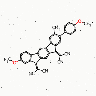 Cc1cc2c(cc1-c1ccc(OC(F)(F)F)cc1)C(=C(C#N)C#N)c1cc3c(cc1-2)-c1ccc(OC(F)(F)F)cc1C3=C(C#N)C#N